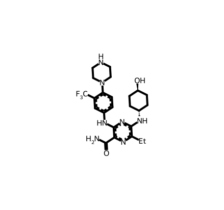 CCc1nc(C(N)=O)c(Nc2ccc(N3CCNCC3)c(C(F)(F)F)c2)nc1N[C@H]1CC[C@H](O)CC1